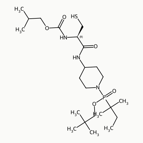 CCC(C)(C)P(=O)(OCC(C)(C)C)N1CCC(NC(=O)[C@H](CS)NC(=O)OCC(C)C)CC1